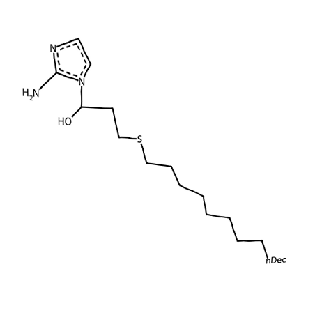 CCCCCCCCCCCCCCCCCCSCCC(O)n1ccnc1N